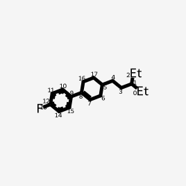 CCC(CC)CCC1CC=C(c2ccc(F)cc2)CC1